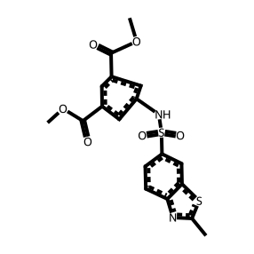 COC(=O)c1cc(NS(=O)(=O)c2ccc3nc(C)sc3c2)cc(C(=O)OC)c1